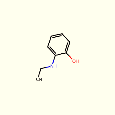 N#CCNc1ccccc1O